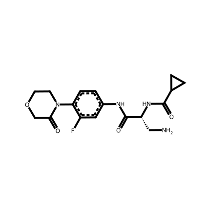 NC[C@@H](NC(=O)C1CC1)C(=O)Nc1ccc(N2CCOCC2=O)c(F)c1